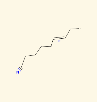 [CH2]C/C=C/CCCCC#N